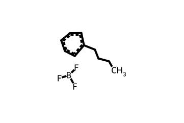 CCCCc1ccccc1.FB(F)F